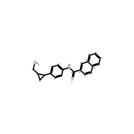 CCC1CC1c1ccc(NC(=O)c2ccc3ccccc3c2)cc1